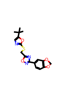 CC(C)(C)c1cnc(SCc2nc(-c3ccc4c(c3)OCO4)no2)o1